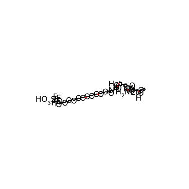 CCON(CCCNC(=O)OC1CCC1)C(=O)C1=Cc2ccc(-c3cccc(S(=O)(=O)N4CC(CNC(=O)CCOCCOCCOCCOCCOCCOCCOCCOCCOCCOCCC(=O)Oc5c(F)c(F)c(S(=O)(=O)O)c(F)c5F)C4)c3)cc2N=C(N)C1